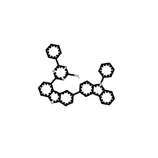 Cc1nc(-c2ccccc2)nc(-c2cccc3oc4ccc(-c5ccc6c(c5)c5ccccc5n6-c5ccccc5)cc4c23)n1